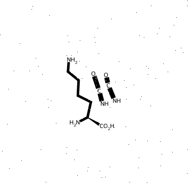 N=C=O.N=C=O.NCCCC[C@H](N)C(=O)O